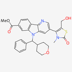 COC(=O)c1ccc2c3ncc(-c4c(CO)sc(=O)n4C)cc3n(C(c3ccccc3)C3CCOCC3)c2c1